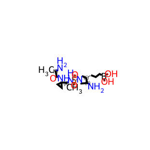 C[C@H](N)C(=O)NC1([C@@H](C)NS(=O)(=O)N2C[C@H](CCCB(O)O)[C@@H](N)C2)CC1